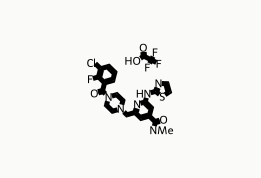 CNC(=O)c1cc(CN2CCN(C(=O)c3cccc(Cl)c3F)CC2)nc(Nc2nccs2)c1.O=C(O)C(F)(F)F